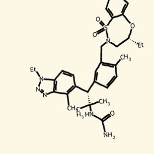 CC[C@@H]1CN(Cc2cc([C@@H](c3ccc4c(nnn4CC)c3C)C(C)(C)NC(N)=O)ccc2C)S(=O)(=O)c2ccccc2O1